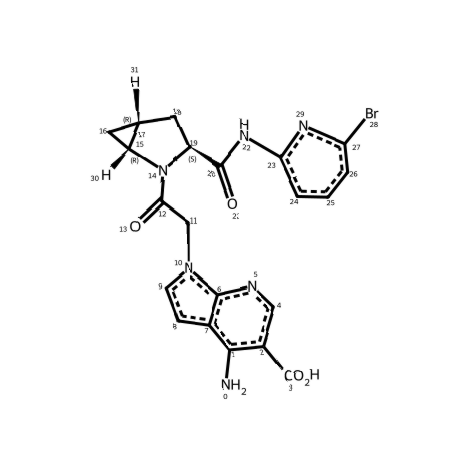 Nc1c(C(=O)O)cnc2c1ccn2CC(=O)N1[C@@H]2C[C@@H]2C[C@H]1C(=O)Nc1cccc(Br)n1